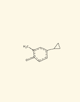 Cn1cc(C2CC2)ccc1=O